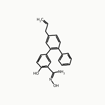 C=CCc1ccc(-c2ccccc2)c(-c2ccc(O)c(/C(N)=N/O)c2)c1